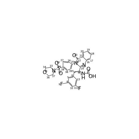 O=C(O)N[C@@H](Cc1cc(F)cc(F)c1)c1nc2ccccc2c(=O)n1-c1ccc(S(=O)(=O)N2CCOCC2)cc1